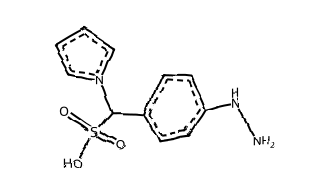 NNc1ccc(C(n2cccc2)S(=O)(=O)O)cc1